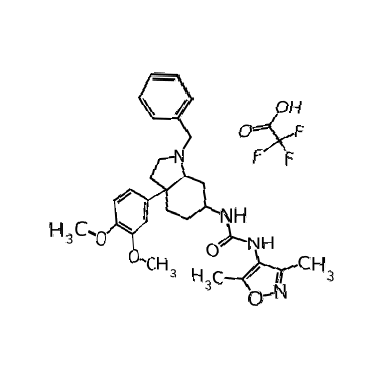 COc1ccc(C23CCC(NC(=O)Nc4c(C)noc4C)CC2N(Cc2ccccc2)CC3)cc1OC.O=C(O)C(F)(F)F